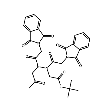 CC(=O)CN(C(=O)CN1C(=O)c2ccccc2C1=O)N(CC(=O)OC(C)(C)C)C(=O)CN1C(=O)c2ccccc2C1=O